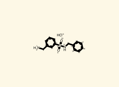 Cl.NCc1cccc(S(=O)(=O)NCc2ccccc2)c1